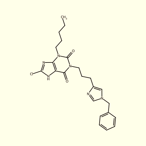 CCCCCn1c(=O)n(CCCc2cn(Cc3ccccc3)cn2)c(=O)c2[nH]c(Cl)nc21